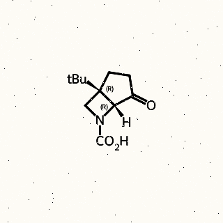 CC(C)(C)[C@@]12CCC(=O)[C@@H]1N(C(=O)O)C2